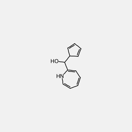 OC(C1=CC=CC=CN1)C1C=CC=C1